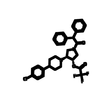 O=C(C(c1ccccc1)c1ccccc1)N1C[C@H](OC(=O)C(F)(F)F)[C@@H](N2CCC(c3ccc(Cl)cc3)CC2)C1